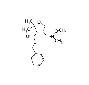 CON(C)CC1COC(C)(C)N1C(=O)OCc1ccccc1